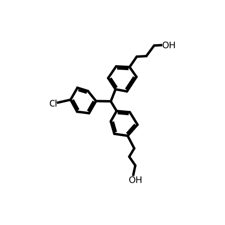 OCCCc1ccc(C(c2ccc(Cl)cc2)c2ccc(CCCO)cc2)cc1